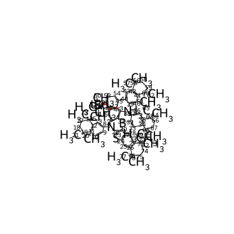 CC(C)(C)c1cc2c3c(c1)N(c1ccc4c(c1)C(C)(C)CCC4(C)C)c1sc4cc5c(cc4c1B3c1cc3c(cc1N2c1cc2c(cc1-c1ccc([Si](C)(C)C)cc1)C(C)(C)CCC2(C)C)C(C)(C)CCC3(C)C)C(C)(C)CCC5(C)C